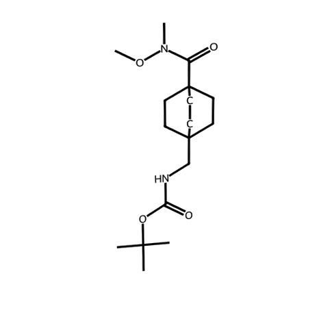 CON(C)C(=O)C12CCC(CNC(=O)OC(C)(C)C)(CC1)CC2